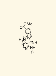 COC(=O)c1ccc2cc(C(=N)c3c(N)ncnc3NC3CC3)[nH]c2c1